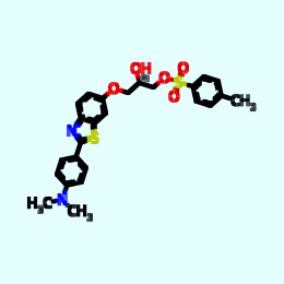 Cc1ccc(S(=O)(=O)OC[C@H](O)COc2ccc3nc(-c4ccc(N(C)C)cc4)sc3c2)cc1